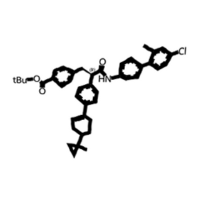 Cc1cc(Cl)ccc1-c1ccc(NC(=O)[C@H](Cc2ccc(C(=O)OC(C)(C)C)cc2)c2ccc(C3=CCC(C4(C)CC4)CC3)cc2)cc1